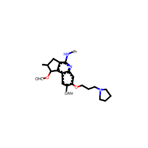 COc1cc2c3c(c(NC(C)C)nc2cc1OCCCN1CCCC1)CC(C)C3OC=O